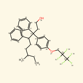 CCC(C)CCC(c1ccccc1)C(CCO)(c1ccccc1)c1ccc(OCC(F)(F)C(F)(F)F)cc1